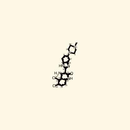 CN1CCN(c2ccc3[nH]c(-c4c(N)c5c(Cl)c(Cl)ccc5[nH]c4=O)nc3c2)CC1